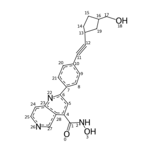 O=C(NO)c1cc(-c2ccc(C#CC3CCC(CO)C3)cc2)nc2ccncc12